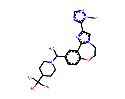 CC(c1ccc2c(c1)-c1nc(-c3ncnn3C(C)C)cn1CCO2)N1CCC(C(C)(C)O)CC1